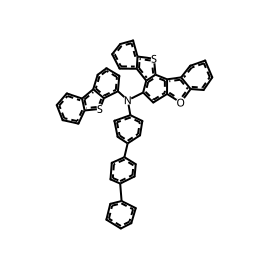 c1ccc(-c2ccc(-c3ccc(N(c4cccc5c4sc4ccccc45)c4cc5oc6ccccc6c5c5sc6ccccc6c45)cc3)cc2)cc1